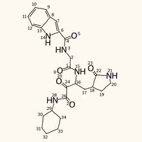 O=C(CNC(=O)c1cc2ccccc2[nH]1)NC(CC1CCNC1=O)C(=O)C(=O)NC1CCCCC1